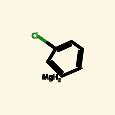 Clc1cc[c]cc1.[MgH2]